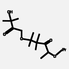 CC(C)OC(C)C(=O)C(C)(C)C(C)(C)OCC(=O)C(C)(C)O